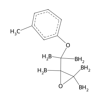 BC(B)(Oc1cccc(C)c1)C1(B)OC1(B)B